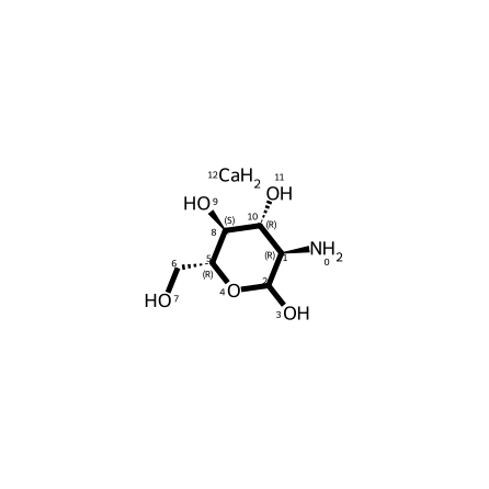 N[C@H]1C(O)O[C@H](CO)[C@@H](O)[C@@H]1O.[CaH2]